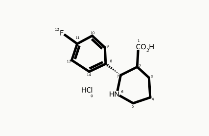 Cl.O=C(O)C1CCCN[C@@H]1c1ccc(F)cc1